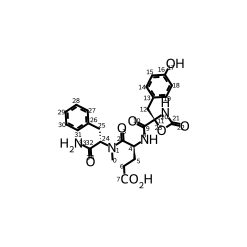 CN(C(=O)[C@H](CCC(=O)O)NC(=O)[C@]1(Cc2ccc(O)cc2)NC(=O)O1)[C@@H](Cc1ccccc1)C(N)=O